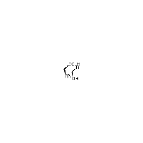 CCCCC(=O)O.O[CH2][Ti]